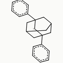 [C]1C2(c3ccccc3)CC3CC(C2)CC1(c1ccccc1)C3